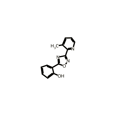 Cc1cccnc1-c1noc(-c2ccccc2O)n1